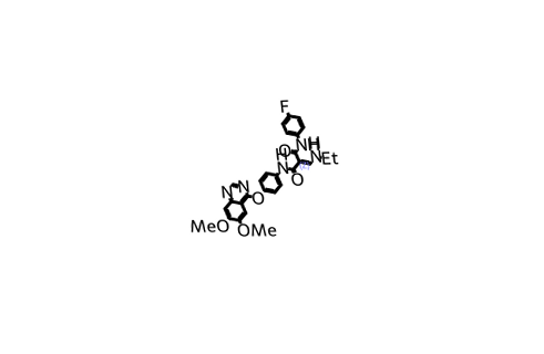 CCN/C=C(\C(=O)Nc1ccc(F)cc1)C(=O)Nc1ccc(Oc2ncnc3cc(OC)c(OC)cc23)cc1